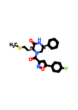 CSCC[C@@H]1C(=O)N[C@@H](c2ccccc2)CN1C(=O)c1cc(-c2ccc(F)cc2)on1